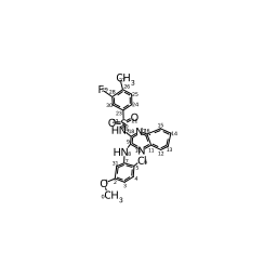 COc1ccc(Cl)c(Nc2nc3ccccc3nc2NS(=O)(=O)c2ccc(C)c(F)c2)c1